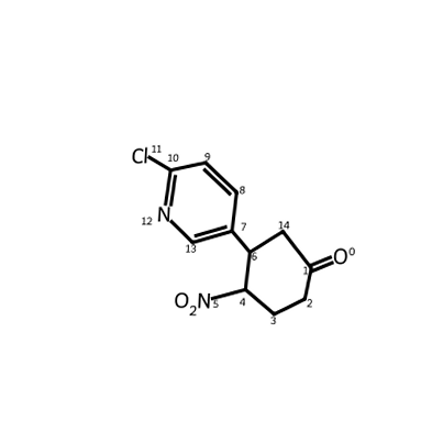 O=C1CCC([N+](=O)[O-])C(c2ccc(Cl)nc2)C1